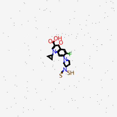 O=C(O)c1cn(C2CC2)c2cc(N3CCC(N(S)C=S)C3)c(F)cc2c1=O